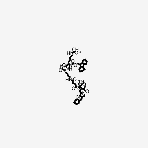 CC[C@@]1(OC(=O)CCC(=O)NCCCC[C@H](NC(=O)[C@H](CCCCNC(C)=O)NC(=O)OCC2c3ccccc3-c3ccccc32)C(N)=O)C(=O)OCc2c1cc1n(c2=O)Cc2cc3ccccc3nc2-1